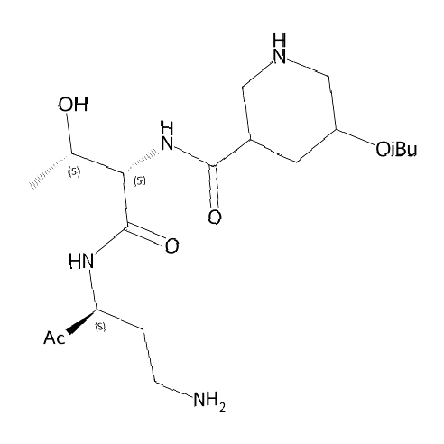 CC(=O)[C@H](CCN)NC(=O)[C@@H](NC(=O)C1CNCC(OCC(C)C)C1)[C@H](C)O